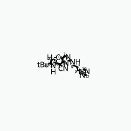 Cc1cnc(NCCCn2cncn2)nc1C(C#N)=C1NC(C(C)(C)C)=CS1